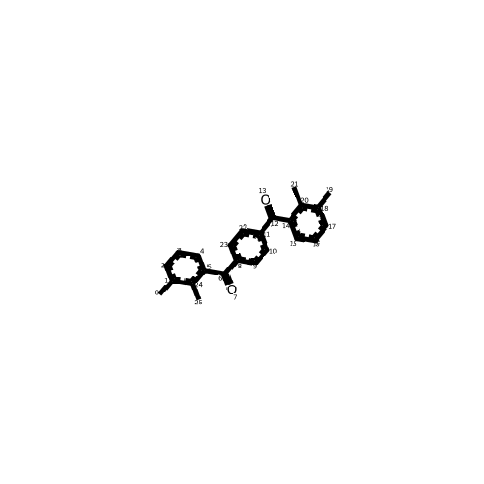 Cc1cccc(C(=O)c2ccc(C(=O)c3cccc(C)c3C)cc2)c1C